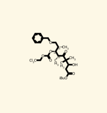 CC(C)COC(=O)CC(O)C(C)(C)C(=O)[C@H](C)[C@@H](OC(=O)OCC(Cl)(Cl)Cl)[C@@H](C)COCc1ccccc1